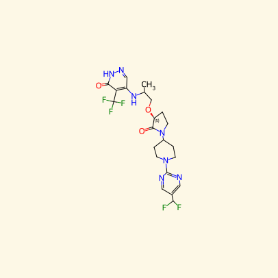 CC(CO[C@H]1CCN(C2CCN(c3ncc(C(F)F)cn3)CC2)C1=O)Nc1cn[nH]c(=O)c1C(F)(F)F